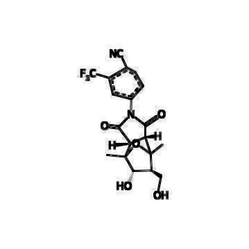 CC12OC(C)([C@@H](CO)[C@@H]1O)[C@H]1C(=O)N(c3ccc(C#N)c(C(F)(F)F)c3)C(=O)[C@H]12